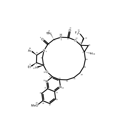 CC[C@@H]1[C@@H]2CN(C(=O)[C@H](C(C)(C)C)NC(=O)O[C@]3(CC(F)(F)F)C[C@H]3CCCCCc3nc4ccc(OC)cc4nc3O2)[C@@H]1C(C)=O